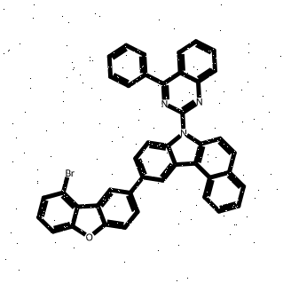 Brc1cccc2oc3ccc(-c4ccc5c(c4)c4c6ccccc6ccc4n5-c4nc(-c5ccccc5)c5ccccc5n4)cc3c12